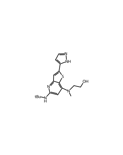 CN(CCO)c1cc(NC(C)(C)C)nc2cc(-c3ccn[nH]3)sc12